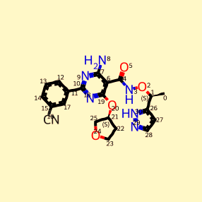 C[C@H](ONC(=O)c1c(N)nc(-c2cccc(C#N)c2)nc1O[C@H]1CCOC1)c1ccn[nH]1